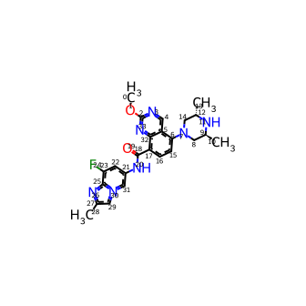 COc1ncc2c(N3C[C@H](C)N[C@@H](C)C3)ccc(C(=O)Nc3cc(F)c4nc(C)cn4c3)c2n1